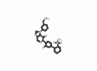 CS(=O)(=O)c1ccccc1-c1ccc(C2N=Cc3ncn(-c4cccc(CN)c4)c3C2=O)c(F)c1